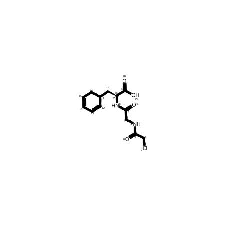 O=C(CCl)NCC(=O)N[C@@H](CC1C=CC=CC1)C(=O)O